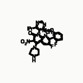 COc1cccc(F)c1-c1nc2c(cc1F)c(N1CCNCC1)c([N+](=O)[O-])c(=O)n2-c1c(C)ncnc1C(C)C